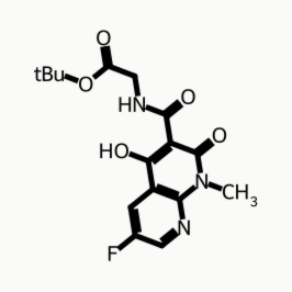 Cn1c(=O)c(C(=O)NCC(=O)OC(C)(C)C)c(O)c2cc(F)cnc21